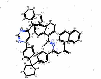 C=C(/C=C(\N=C(/C)C1=CCCc2ccccc21)c1ccc(C2(c3ccc(-c4cc(-c5cccc6c5C=CCC6)ncn4)cc3)CCCCC2)cc1)c1cccc2ccccc12